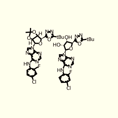 CC(C)(C)c1nnc([C@H]2O[C@@H](n3cnc4c(Nc5ccc(Cl)cc5F)ncnc43)[C@H](O)[C@@H]2O)o1.CC1(C)O[C@@H]2[C@@H](O1)[C@H](n1cnc3c(Nc4ccc(Cl)cc4F)ncnc31)O[C@@H]2c1nnc(C(C)(C)C)o1